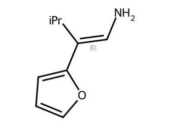 CC(C)/C(=C\N)c1ccco1